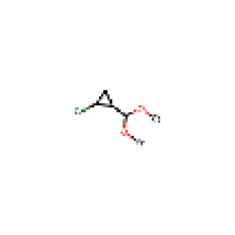 CCOC(OCC)C1C[C]1Cl